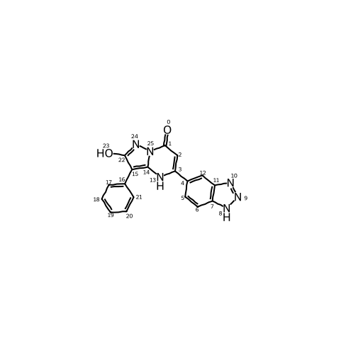 O=c1cc(-c2ccc3[nH]nnc3c2)[nH]c2c(-c3ccccc3)c(O)nn12